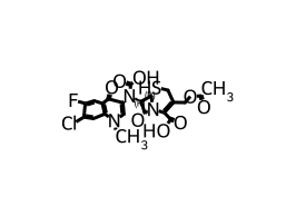 CCn1cc(N(C(=O)O)[C@@H]2C(=O)N3C(C(=O)O)=C(COC(C)=O)CS[C@H]23)c(=O)c2cc(F)c(Cl)cc21